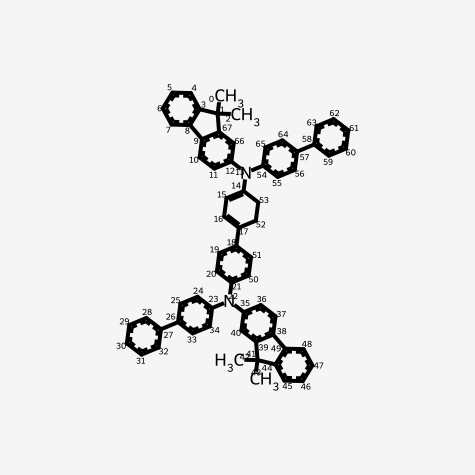 CC1(C)c2ccccc2-c2ccc(N(C3=CC=C(c4ccc(N(c5ccc(-c6ccccc6)cc5)c5ccc6c(c5)C(C)(C)c5ccccc5-6)cc4)CC3)c3ccc(-c4ccccc4)cc3)cc21